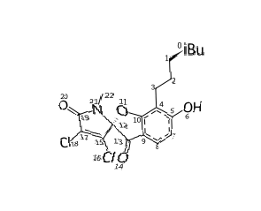 CC[C@H](C)CCCc1c(O)ccc2c1O[C@]1(C2=O)C(Cl)=C(Cl)C(=O)N1C